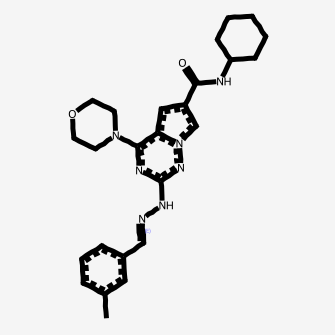 Cc1cccc(/C=N/Nc2nc(N3CCOCC3)c3cc(C(=O)NC4CCCCC4)cn3n2)c1